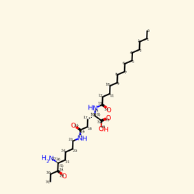 CCCCCCCCCCCCCC(=O)N[C@@H](CCC(=O)NCCCC[C@H](N)C(=O)CC)C(=O)O